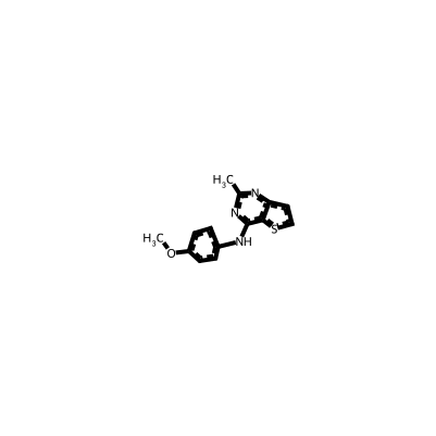 COc1ccc(Nc2nc(C)nc3ccsc23)cc1